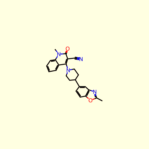 Cc1nc2cc(C3CCN(c4c(C#N)c(=O)n(C)c5ccccc45)CC3)ccc2o1